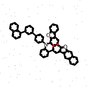 c1cc(-c2ccc(N(c3ccccc3-c3ccc4oc5cc6ccccc6cc5c4c3)c3cccc4c3oc3ccccc34)cc2)cc(-c2cccc3ccccc23)c1